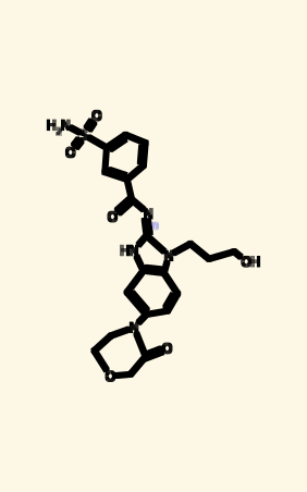 NS(=O)(=O)c1cccc(C(=O)/N=c2\[nH]c3cc(N4CCOCC4=O)ccc3n2CCCO)c1